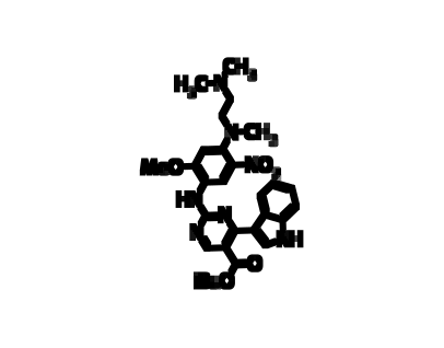 COc1cc(N(C)CCN(C)C)c([N+](=O)[O-])cc1Nc1ncc(C(=O)OCC(C)C)c(-c2c[nH]c3ccccc23)n1